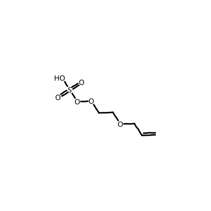 C=CCOCCOOS(=O)(=O)O